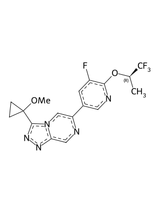 COC1(c2nnc3cnc(-c4cnc(O[C@H](C)C(F)(F)F)c(F)c4)cn23)CC1